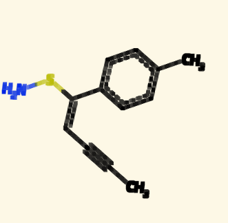 CC#C/C=C(/SN)c1ccc(C)cc1